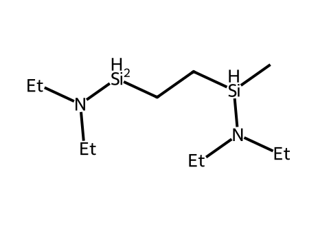 CCN(CC)[SiH2]CC[SiH](C)N(CC)CC